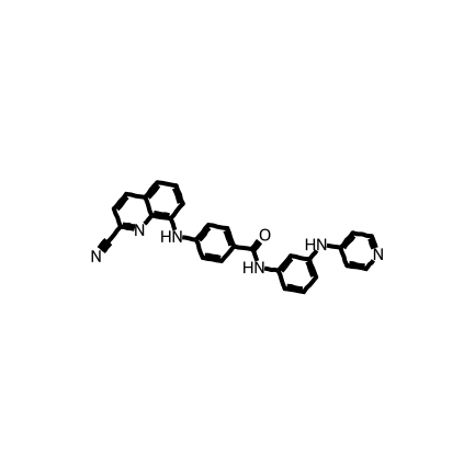 N#Cc1ccc2cccc(Nc3ccc(C(=O)Nc4cccc(Nc5ccncc5)c4)cc3)c2n1